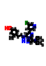 CCc1cc(O)ccc1CCNc1cc(-c2cncc(F)c2)nc2c(N(C)C)cnn12